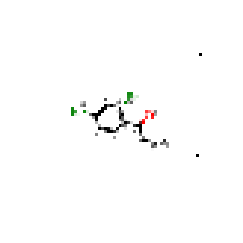 CC(C)CC(=O)c1ccc(Br)cc1Br